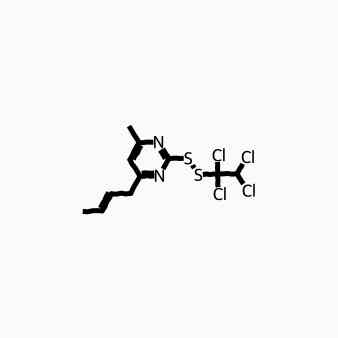 CC=CCc1cc(C)nc(SSC(Cl)(Cl)C(Cl)Cl)n1